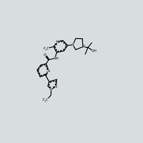 CC(C)(O)[C@@H]1CCN(c2cnc(C(F)(F)F)c(NC(=O)c3cccc(-c4cnn(CC(F)(F)F)c4)n3)c2)C1